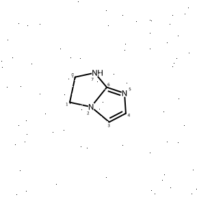 [CH]1Cn2ccnc2N1